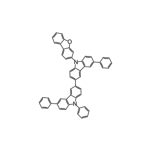 c1ccc(-c2ccc3c(c2)c2cc(-c4ccc5c(c4)c4cc(-c6ccccc6)ccc4n5-c4ccc5c(c4)oc4ccccc45)ccc2n3-c2ccccc2)cc1